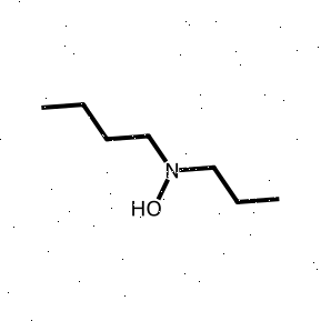 CCCCN(O)CCC